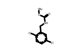 CC(C)(C)OC(=O)NCc1cc(Cl)ccc1Cl